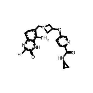 CCc1nc2ccc(CN3CC(Oc4ccc(C(=O)NC5CC5)nc4)C3)c(P)c2[nH]c1=O